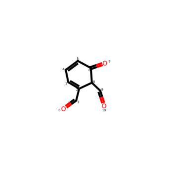 O=CC1=CC=CC(=O)C1C=O